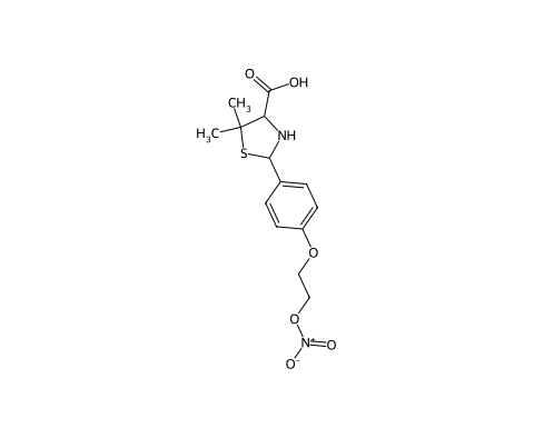 CC1(C)SC(c2ccc(OCCO[N+](=O)[O-])cc2)NC1C(=O)O